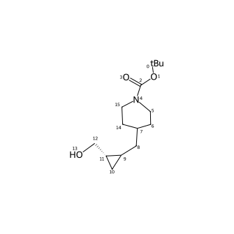 CC(C)(C)OC(=O)N1CCC(CC2C[C@@H]2CO)CC1